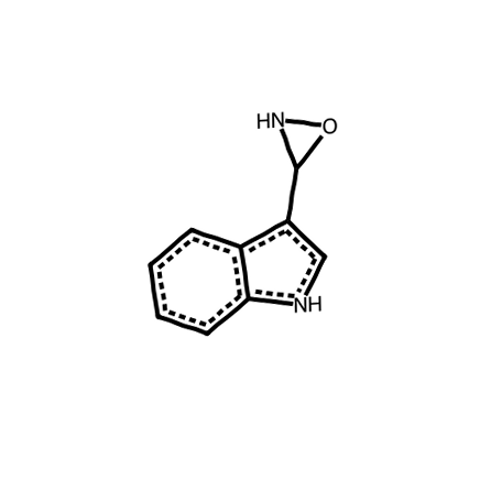 c1ccc2c(C3NO3)c[nH]c2c1